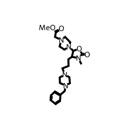 COC(=O)CN1CCN(C2OC(=O)N(C)C2CCCN2CCN(Cc3ccccc3)CC2)CC1